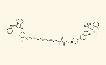 CCOC(=O)C1=C(Nc2ccccc2)S/C(=C\c2ccc(O)c(OCCOCCOCCOCCNC(=O)NCCN3CCN(c4ccc5[nH]c(-c6c(N)c7c(F)cccc7[nH]c6=O)nc5c4)CC3)c2)C1=O